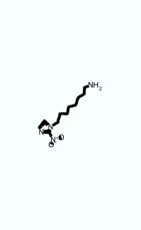 NCCCCCCCCn1ccnc1[N+](=O)[O-]